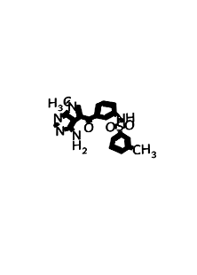 Cc1cccc(S(=O)(=O)Nc2cccc(C(=O)c3cn(C)c4ncnc(N)c34)c2)c1